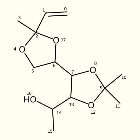 C=CC1(C)OCC(C2OC(C)(C)OC2C(C)O)O1